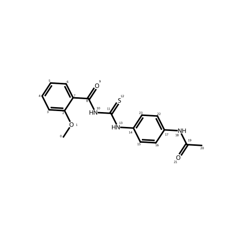 COc1ccccc1C(=O)NC(=S)Nc1ccc(NC(C)=O)cc1